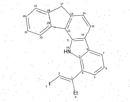 CCC(=CI)c1cccc2c1[nH]c1c3c(ccc12)Cc1ccccc1-3